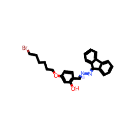 Oc1cc(OCCCCCCBr)ccc1/C=N/N=C1c2ccccc2-c2ccccc21